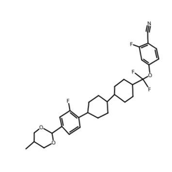 CC1COC(c2ccc(C3CCC(C4CCC(C(F)(F)Oc5ccc(C#N)c(F)c5)CC4)CC3)c(F)c2)OC1